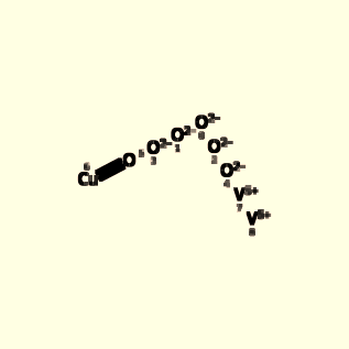 [O-2].[O-2].[O-2].[O-2].[O-2].[O]=[Cu].[V+5].[V+5]